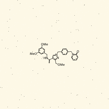 C=C(NCc1cc(OC)cc(OC)c1)c1cn(Cc2ccc(Cn3ccccc3=O)cc2)nc1COC